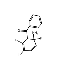 NC1(F)C=CC(Cl)=C(F)C1C(=O)c1ccccc1